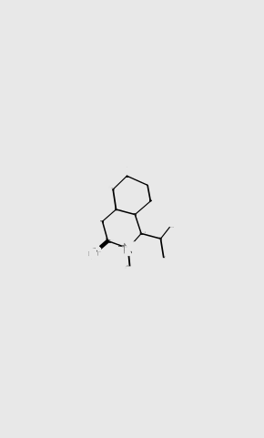 CC(C)C1C2CCCCC2CC(=O)N1C